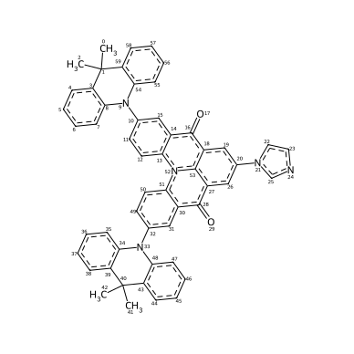 CC1(C)c2ccccc2N(c2ccc3c(c2)c(=O)c2cc(-n4ccnc4)cc4c(=O)c5cc(N6c7ccccc7C(C)(C)c7ccccc76)ccc5n3c24)c2ccccc21